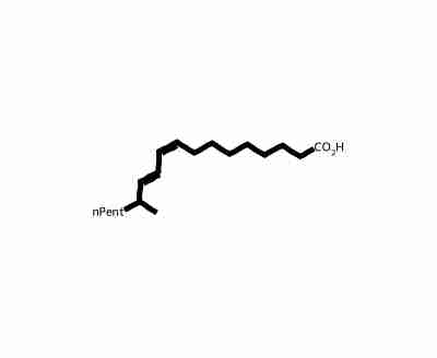 CCCCCC(C)/C=C/C=C\CCCCCCCC(=O)O